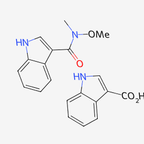 CON(C)C(=O)c1c[nH]c2ccccc12.O=C(O)c1c[nH]c2ccccc12